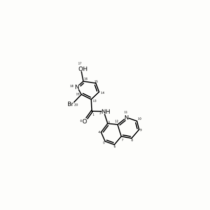 O=C(Nc1cccc2cccnc12)c1ccc(O)nc1Br